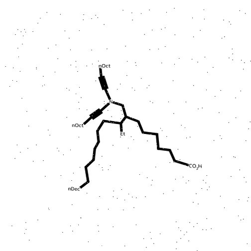 CCCCCCCCC#CN(C#CCCCCCCCC)CC(CCCCCCC(=O)O)C(CC)CCCCCCCCCCCCCCCCC